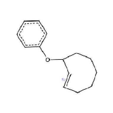 C1=C/C(Oc2ccccc2)CCCCC/1